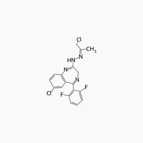 CC(CCl)=NNC1=Nc2ccc(Cl)cc2C(c2c(F)cccc2F)=NC1